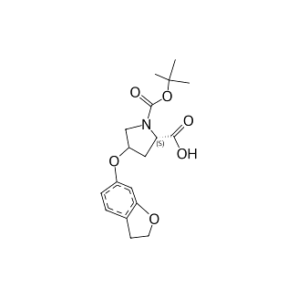 CC(C)(C)OC(=O)N1CC(Oc2ccc3c(c2)OCC3)C[C@H]1C(=O)O